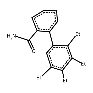 CCc1cc(-c2ccccc2C(N)=O)c(CC)c(CC)c1CC